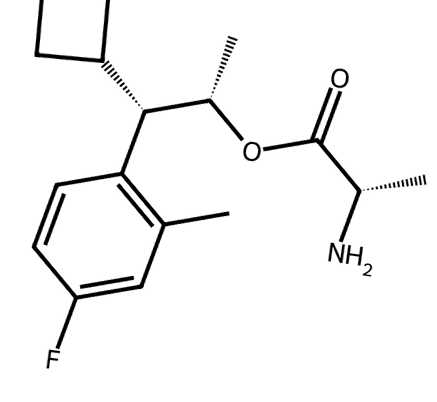 Cc1cc(F)ccc1[C@H](C1CCC1)[C@H](C)OC(=O)[C@H](C)N